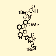 COc1nc(-c2cccc(-c3ccnc(-c4cc5c(=O)n(C)c(CO[Si](C)(C)C(C)(C)C)nn5c4)c3Cl)c2Cl)ccc1CN(C[C@@H]1CCC(=O)N1)C(=O)OC(C)(C)C